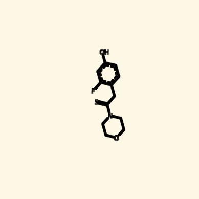 Oc1ccc(CC(=S)N2CCOCC2)c(F)c1